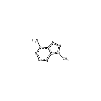 Cn1nnc2c(N)nnnc21